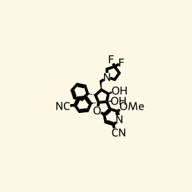 COc1nc(C#N)cc2c1[C@]1(O)[C@H](O)[C@H](CN3CCC(F)(F)C3)[C@@H](C3C=CC=CC3)[C@]1(c1ccc(C#N)cc1)O2